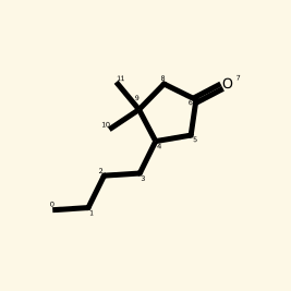 CCCCC1CC(=O)CC1(C)C